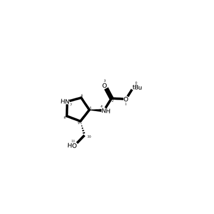 CC(C)(C)OC(=O)N[C@@H]1CNC[C@H]1CO